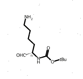 CC(C)(C)OC(=O)N[C@H](C=O)CCCCN